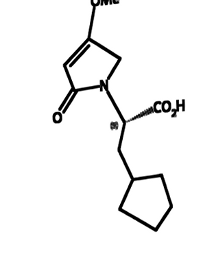 COC1=CC(=O)N([C@@H](CC2CCCC2)C(=O)O)C1